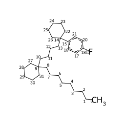 CCCCCCCCCC1(CCCCC2(c3ccc(F)cc3)CCCCC2)CCCCC1